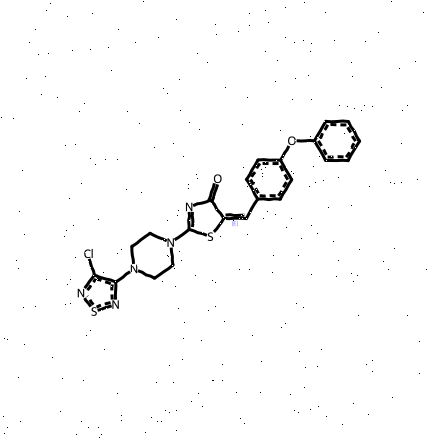 O=C1N=C(N2CCN(c3nsnc3Cl)CC2)S/C1=C/c1ccc(Oc2ccccc2)cc1